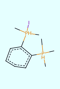 C[PH](C)(C)c1ccccc1[PH](C)(C)I